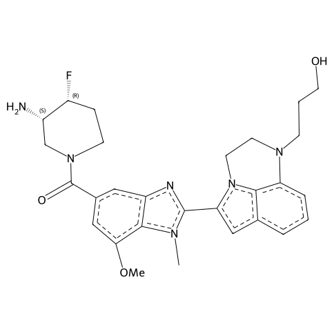 COc1cc(C(=O)N2CC[C@@H](F)[C@@H](N)C2)cc2nc(-c3cc4cccc5c4n3CCN5CCCO)n(C)c12